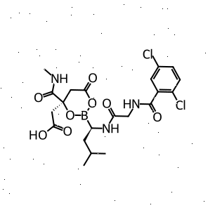 CNC(=O)[C@@]1(CC(=O)O)CC(=O)OB([C@H](CC(C)C)NC(=O)CNC(=O)c2cc(Cl)ccc2Cl)O1